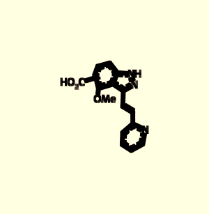 COc1c(C(=O)O)ccc2[nH]nc(C=Cc3ccccn3)c12